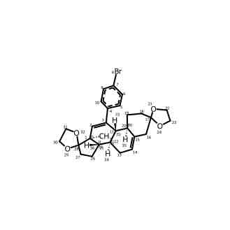 C[C@]12C=C(c3ccc(Br)cc3)[C@H]3[C@@H](CC=C4CC5(CC[C@@H]43)OCCO5)[C@@H]1CCC21OCCO1